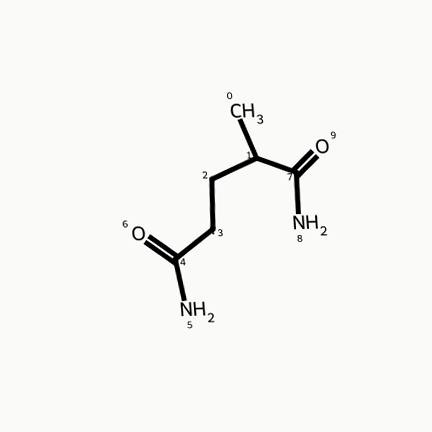 CC(C[CH]C(N)=O)C(N)=O